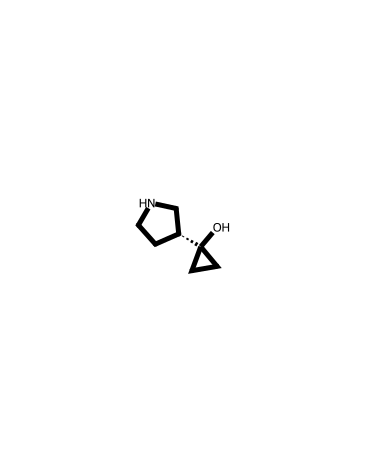 OC1([C@@H]2CCNC2)CC1